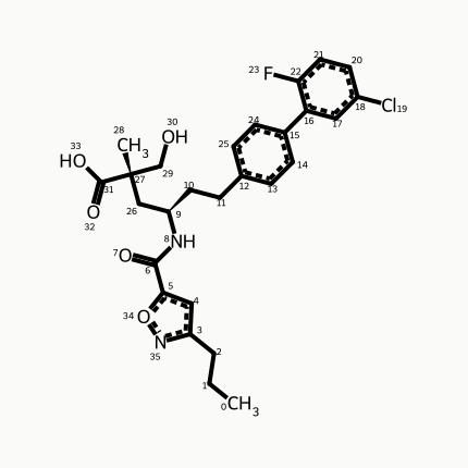 CCCc1cc(C(=O)N[C@H](CCc2ccc(-c3cc(Cl)ccc3F)cc2)C[C@@](C)(CO)C(=O)O)on1